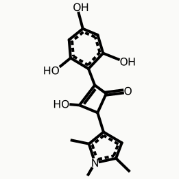 Cc1cc(C2C(=O)C(c3c(O)cc(O)cc3O)=C2O)c(C)n1C